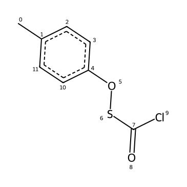 Cc1ccc(OSC(=O)Cl)cc1